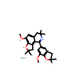 COc1cc(C2=NC(C)(C)Cc3cc(OC)c4c(c32)CC(C)(C)O4)cc2c1OC(C)(C)C2.Cl